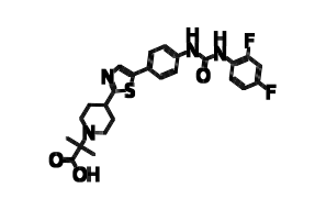 CC(C)(C(=O)O)N1CCC(c2ncc(-c3ccc(NC(=O)Nc4ccc(F)cc4F)cc3)s2)CC1